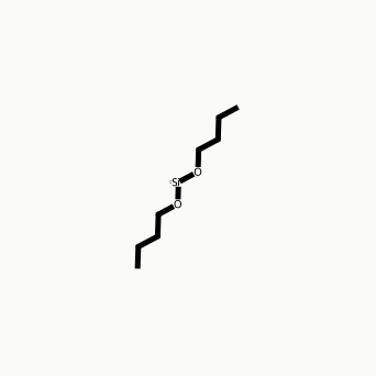 CCCCO[Si]OCCCC